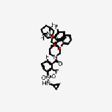 Cc1nc2ccccc2n1C1C[C@H]2CC[C@@H](C1)N2CCC1(c2cccc(F)c2)CCN(C(=O)c2c(F)ccc(S(=O)(=O)NC3CC3)c2F)CC1